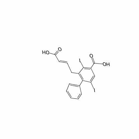 O=C(O)C=CCc1c(I)c(C(=O)O)cc(I)c1-c1ccccc1